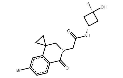 C[C@]1(O)C[C@H](NC(=O)CN2CC3(CC3)c3cc(Br)ccc3C2=O)C1